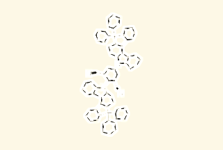 N#Cc1cc(-n2c3ccccc3c3c4c(ccc32)C(c2ccccc2)(c2ccccc2)c2ccccc2-4)cc(C#N)c1-n1c2ccccc2c2c3c(ccc21)C(c1ccccc1)(c1ccccc1)c1ccccc1-3